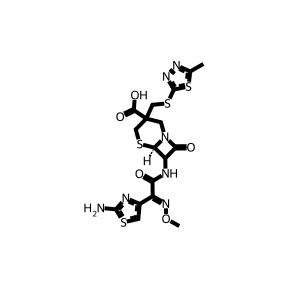 CON=C(C(=O)NC1C(=O)N2CC(CSc3nnc(C)s3)(C(=O)O)CS[C@H]12)c1csc(N)n1